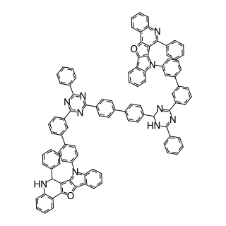 c1ccc(C2=NC(c3cccc(-c4cccc(-n5c6ccccc6c6oc7c8ccccc8nc(-c8ccccc8)c7c65)c4)c3)=NC(c3ccc(-c4ccc(-c5nc(-c6ccccc6)nc(-c6cccc(-c7ccc(-n8c9ccccc9c9oc%10c(c98)C(c8ccccc8)Nc8ccccc8-%10)cc7)c6)n5)cc4)cc3)N2)cc1